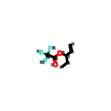 C=CC(CC)OC(=O)C(F)(F)F